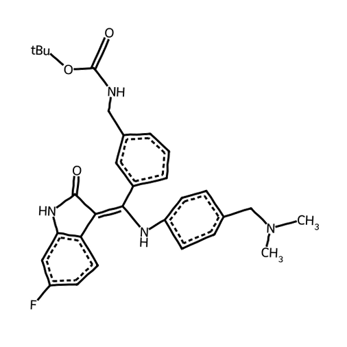 CN(C)Cc1ccc(NC(=C2C(=O)Nc3cc(F)ccc32)c2cccc(CNC(=O)OC(C)(C)C)c2)cc1